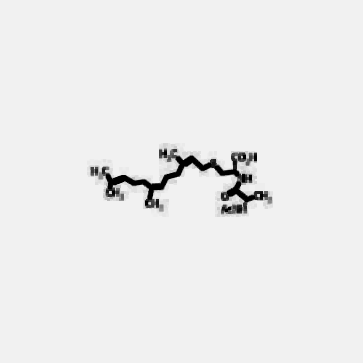 CC(=O)N[C@@H](C)C(=O)N[C@@H](CSCC=C(C)CCC=C(C)CCC=C(C)C)C(=O)O